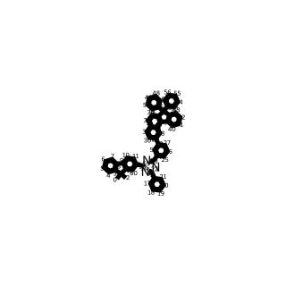 CC1(C)c2ccccc2-c2ccc(-c3nc(-c4ccccc4)nc(-c4cccc(-c5ccc6ccc7c(c6c5)-c5ccccc5C7(c5ccccc5)c5ccccc5)c4)n3)cc21